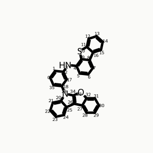 c1cc(Nc2cccc3c2sc2ccccc23)cc(-n2c3ccccc3c3c4ccccc4oc32)c1